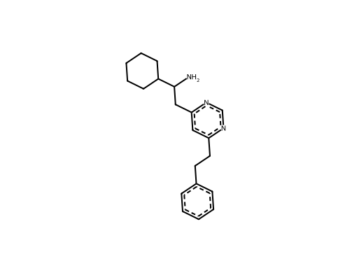 NC(Cc1cc(CCc2ccccc2)ncn1)C1CCCCC1